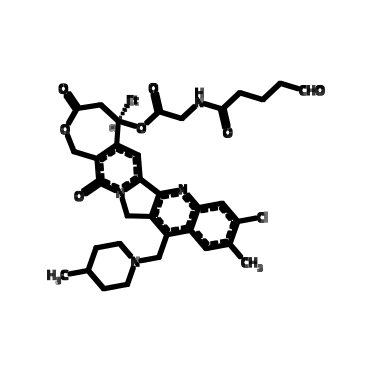 CC[C@@]1(OC(=O)CNC(=O)CCCC=O)CC(=O)OCc2c1cc1n(c2=O)Cc2c-1nc1cc(Cl)c(C)cc1c2CN1CCC(C)CC1